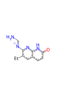 CCc1cc2ccc(=O)[nH]c2nc1/N=C/N